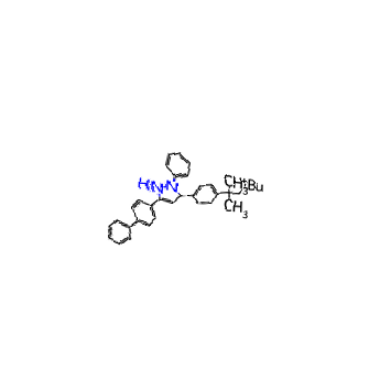 CC(C)(C)CC(C)(C)c1ccc(C2C=C(c3ccc(-c4ccccc4)cc3)NN2c2ccccc2)cc1